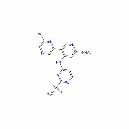 CC(=O)Nc1cc(Nc2ccnc(C(C)(F)F)n2)c(-c2cncc(C#N)n2)cn1